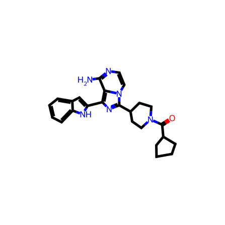 Nc1nccn2c(C3CCN(C(=O)C4CCCC4)CC3)nc(-c3cc4ccccc4[nH]3)c12